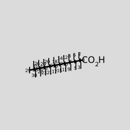 O=C(O)C(I)(I)C(I)(I)C(I)(I)C(I)(I)C(I)(I)C(I)(I)C(I)(I)C(I)(I)C(I)(I)C(I)(I)I